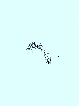 Cc1ncc(F)c2c1CC(CN[C@H]1C[C@@H](C3CN(c4cnc5c(n4)NC(=O)CO5)C(=O)O3)C1)C2